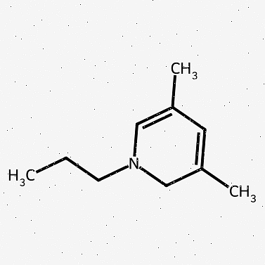 CCCN1C=C(C)C=C(C)C1